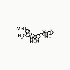 COc1cccc(C(C)CC(=O)Nc2sc3c(c2C#N)CCC(COC(=O)NCc2nccn2C)C3)c1